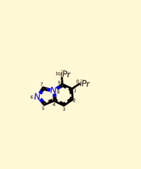 CC(C)c1ccc2cncn2c1C(C)C